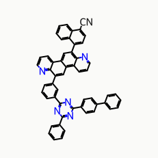 N#Cc1ccc(-c2cc3c4cccnc4c(-c4cccc(-c5nc(-c6ccccc6)nc(-c6ccc(-c7ccccc7)cc6)n5)c4)cc3c3cccnc23)c2ccccc12